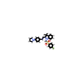 CC1(C)C(/C=C/c2ccc(N3CCCC3)cc2)=[N+](CS(=O)(=O)c2ccc(F)cc2)c2ccccc21